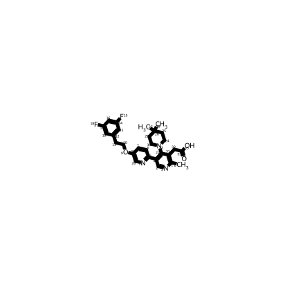 Cc1ncc(-c2ccc(OCCc3cc(F)cc(F)c3)cn2)c(N2CCC(C)(C)CC2)c1CC(=O)O